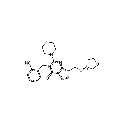 N#Cc1ccccc1Cn1c(N2CCCCC2)nc2c(CO[C@H]3CCOC3)csc2c1=O